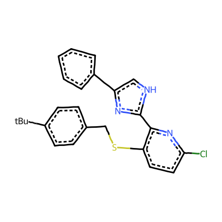 CC(C)(C)c1ccc(CSc2ccc(Cl)nc2-c2nc(-c3ccccc3)c[nH]2)cc1